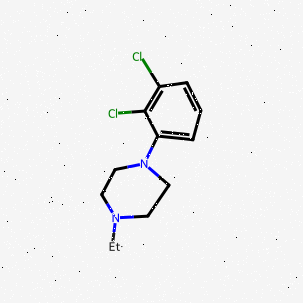 C[CH]N1CCN(c2cccc(Cl)c2Cl)CC1